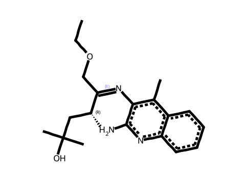 CCOC/C(=N/c1c(N)nc2ccccc2c1C)[C@H](C)CC(C)(C)O